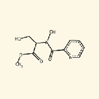 COC(=O)C(CO)N(O)C(=O)c1ccccn1